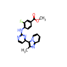 COC(=O)c1ccc(Nc2nccc(-c3c(C)nc4ccccn34)n2)c(F)c1